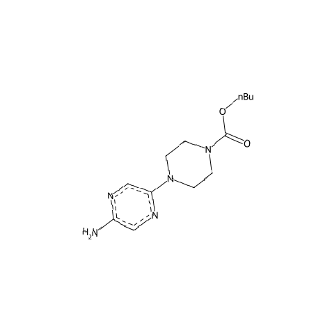 CCCCOC(=O)N1CCN(c2cnc(N)cn2)CC1